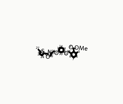 COC(=O)c1c(C)cccc1COc1cccc(OCc2coc(-c3ccc(C)s3)n2)c1